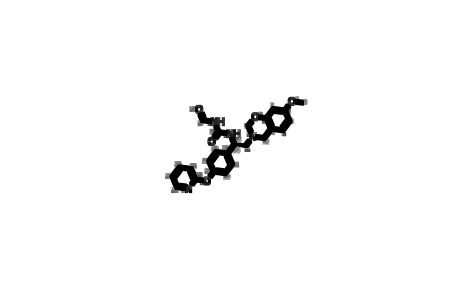 COc1ccc2c(c1)OCN(C[C@H](NC(=O)NC=O)c1ccc(Oc3ccccn3)cc1)C2